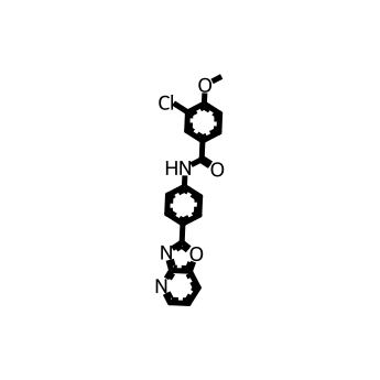 COc1ccc(C(=O)Nc2ccc(-c3nc4ncccc4o3)cc2)cc1Cl